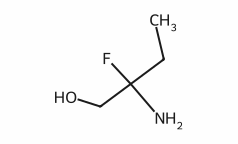 CCC(N)(F)CO